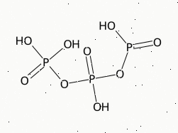 O=[P](O)OP(=O)(O)OP(=O)(O)O